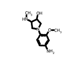 CNC1CN(c2ccc(N)cc2OC)CC1O